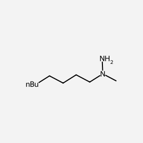 CCCCCCCCN(C)N